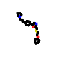 C(=C\c1ccc(-c2cnc(CSCCOc3ccccc3)o2)cc1)/CN1CCCC1